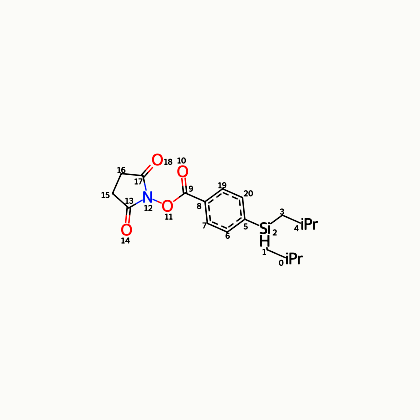 CC(C)C[SiH](CC(C)C)c1ccc(C(=O)ON2C(=O)CCC2=O)cc1